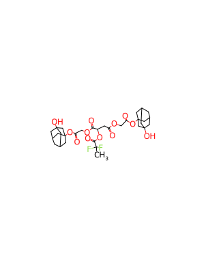 CC(F)(F)C(=O)OC(CC(=O)OCC(=O)OC12CC3CC(CC(O)(C3)C1)C2)C(=O)OCC(=O)OC12CC3CC(CC(O)(C3)C1)C2